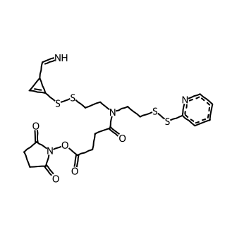 N=CC1C=C1SSCCN(CCSSc1ccccn1)C(=O)CCC(=O)ON1C(=O)CCC1=O